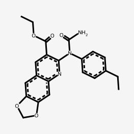 CCOC(=O)c1cc2cc3c(cc2nc1N(C(N)=O)c1ccc(CC)cc1)OCO3